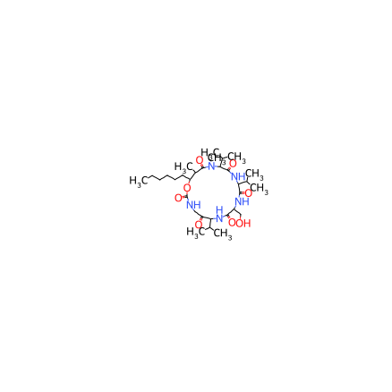 CCCCCCC1OC(=O)NCC(=O)C(C(C)C)NC(=O)C(CO)NC(=O)C(C(C)C)NC(=O)C(C(C)C)N(C)C(=O)C1C